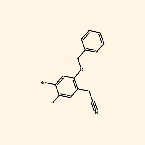 N#CCc1cc(F)c(Br)cc1OCc1ccccc1